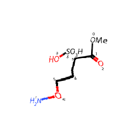 COC(=O)CCCON.O=S(=O)(O)O